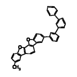 Cc1ccc2oc3c(ccc4c5cc(-c6cccc(-c7cccc(-c8ccccc8)c7)c6)ccc5oc43)c2c1